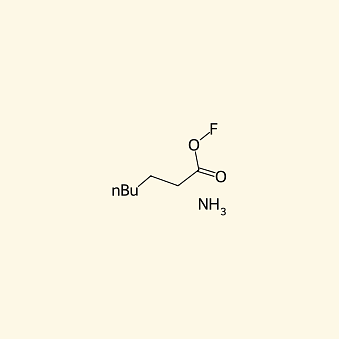 CCCCCCC(=O)OF.N